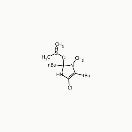 CCCCC1(O[SiH](C)C)NC(Cl)=C(C(C)(C)C)N1C